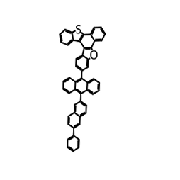 c1ccc(-c2ccc3cc(-c4c5ccccc5c(-c5ccc6c(c5)oc5c7ccccc7c7sc8ccccc8c7c65)c5ccccc45)ccc3c2)cc1